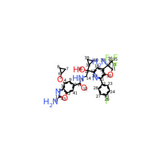 Nc1nc2c(OC3CC3)cc(C(=O)NCC(O)(c3cc4c(c(-c5ccc(F)cc5)n3)OC[C@@]4(N)C(F)(F)F)C3CC3)cc2o1